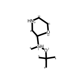 C[SiH](OC(C)(C)C)C1CNCCO1